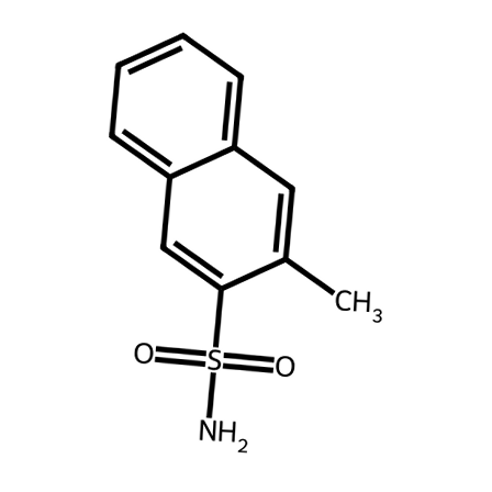 Cc1cc2ccccc2cc1S(N)(=O)=O